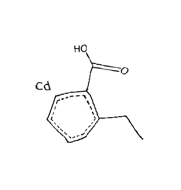 CCc1ccccc1C(=O)O.[Cd]